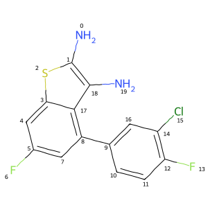 Nc1sc2cc(F)cc(-c3ccc(F)c(Cl)c3)c2c1N